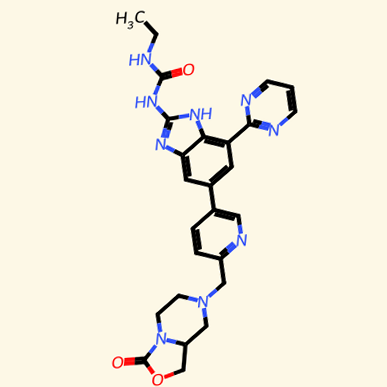 CCNC(=O)Nc1nc2cc(-c3ccc(CN4CCN5C(=O)OCC5C4)nc3)cc(-c3ncccn3)c2[nH]1